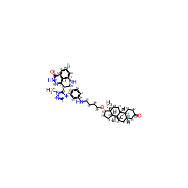 Cn1ncnc1[C@H]1c2n[nH]c(=O)c3cc(F)cc(c23)N[C@@H]1c1ccc(NCCCCO[C@H]2CC[C@H]3[C@@H]4CC[C@H]5CC(=O)CC[C@]5(C)[C@H]4CC[C@]23C)cc1